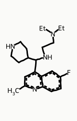 CCN(CC)CCNC(c1cc(C)nc2ccc(F)cc12)C1CCNCC1